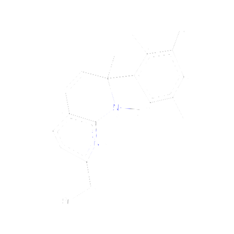 Cc1cc(C)c(C)c(C2(C)C=Cc3ccc(CC(C)C)nc3N2C)c1